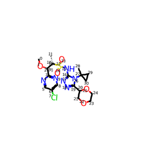 CO[C@H](c1ncc(Cl)cn1)[C@H](C)S(=O)(=O)Nc1nnc(C2COCCO2)n1C1(C)CC1